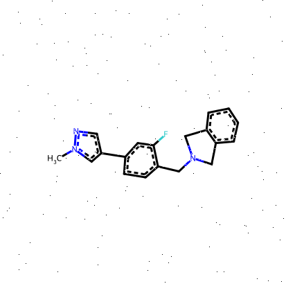 Cn1cc(-c2ccc(CN3Cc4ccccc4C3)c(F)c2)cn1